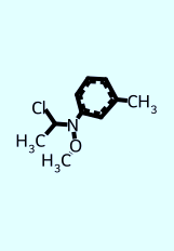 CON(c1cccc(C)c1)C(C)Cl